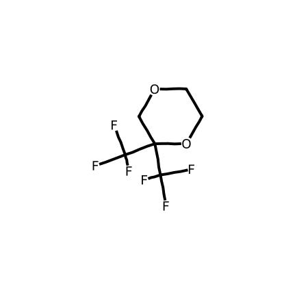 FC(F)(F)C1(C(F)(F)F)COCCO1